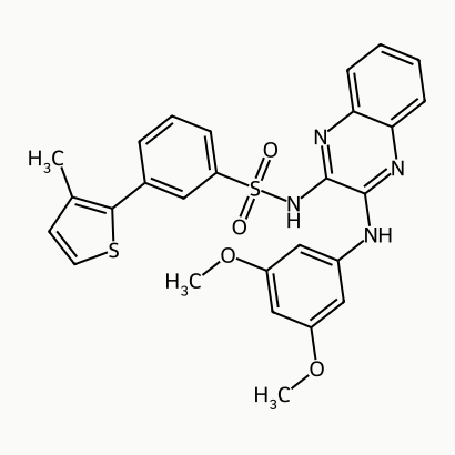 COc1cc(Nc2nc3ccccc3nc2NS(=O)(=O)c2cccc(-c3sccc3C)c2)cc(OC)c1